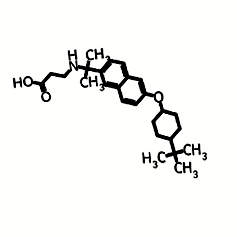 CC(C)(NCCC(=O)O)c1ccc2cc(OC3CCC(C(C)(C)C)CC3)ccc2c1